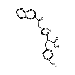 Nc1ccc(CC(C(=O)O)c2cn(CC(=O)c3ccc4ccccc4c3)cn2)cn1